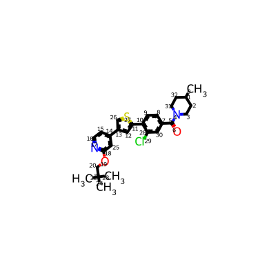 CC1CCN(C(=O)c2ccc(-c3cc(-c4ccnc(OCC(C)(C)C)c4)cs3)c(Cl)c2)CC1